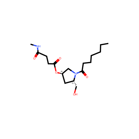 CCCCCCC(=O)N1C[C@H](OC(=O)CCC(=O)NC)C[C@H]1CO